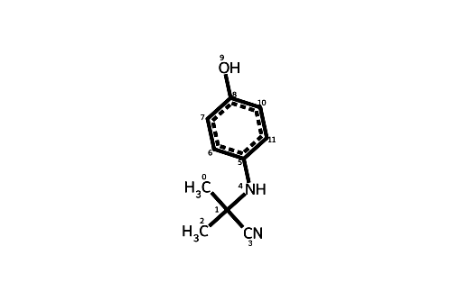 CC(C)(C#N)Nc1ccc(O)cc1